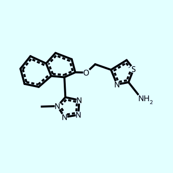 Cn1nnnc1-c1c(OCc2csc(N)n2)ccc2ccccc12